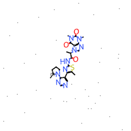 Cc1sc(NC(=O)C(C)n2cnc3c2c(=O)n(C)c(=O)n3C)nc1-c1cncnc1N1CCC[C@@H]1C